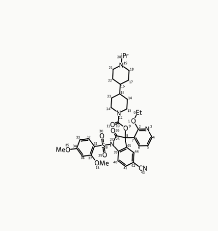 CCOc1ncccc1C1(OC(=O)N2CCC(C3CCN(C(C)C)CC3)CC2)C(=O)N(S(=O)(=O)c2ccc(OC)cc2OC)c2ccc(C#N)cc21